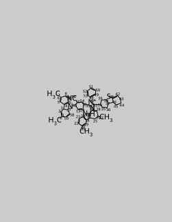 CC1=CC2c3cc(C)ccc3N(C3C=C(n4c5c(c6cc(C)ccc64)CC(C)C=C5)C(C4NC(C5CCC6C(C5)SC5=CCCCC56)=[N+]4c4ccccc4)=CC3C#N)C2C=C1